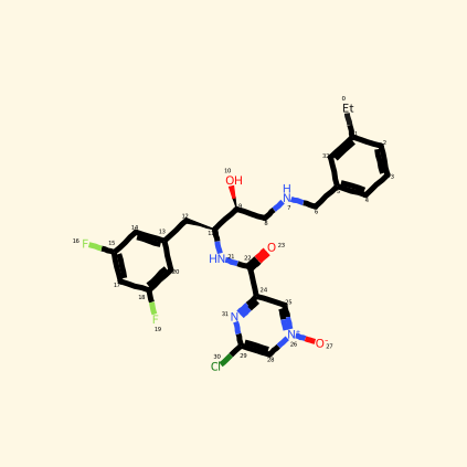 CCc1cccc(CNC[C@H](O)[C@H](Cc2cc(F)cc(F)c2)NC(=O)c2c[n+]([O-])cc(Cl)n2)c1